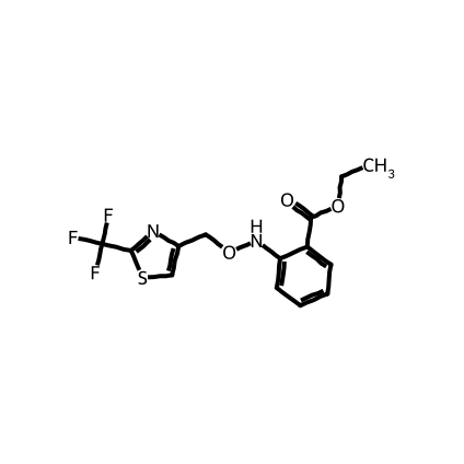 CCOC(=O)c1ccccc1NOCc1csc(C(F)(F)F)n1